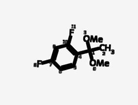 COC(C)(OC)c1ccc(F)cc1F